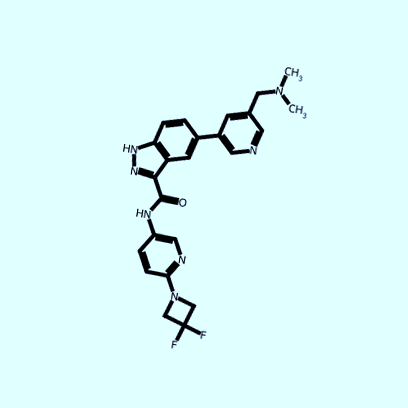 CN(C)Cc1cncc(-c2ccc3[nH]nc(C(=O)Nc4ccc(N5CC(F)(F)C5)nc4)c3c2)c1